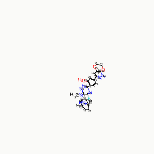 CN(c1cnc(-c2ccc(-c3cc4c(nn3)OCCO4)cc2O)nn1)[C@H]1C[C@@H]2CC[C@@H](N2)[C@H]1F